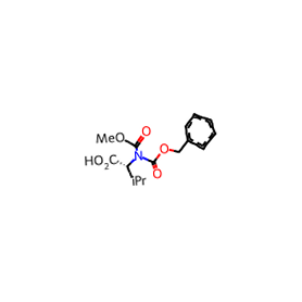 COC(=O)N(C(=O)OCc1ccccc1)[C@@H](C(=O)O)C(C)C